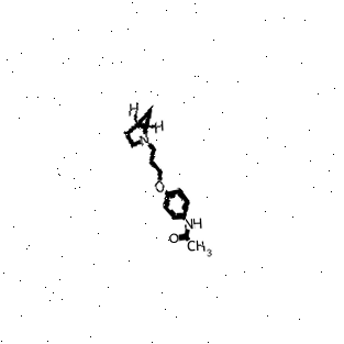 CC(=O)Nc1ccc(OCCCN2CC[C@@H]3C[C@@H]32)cc1